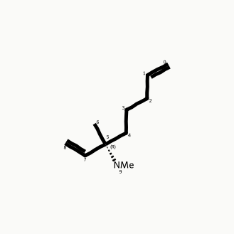 C=CCCC[C@](C)(C=C)NC